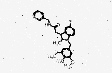 COc1cc(CC2c3ccc(F)cc3C(CC(=O)NCc3cccnc3)C2C)cc(OC)c1O